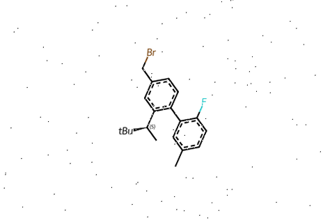 Cc1ccc(F)c(-c2ccc(CBr)cc2[C@@H](C)C(C)(C)C)c1